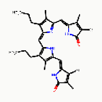 CCC1=C(C)/C(=C/C2=NC(=C\c3[nH]c(/C=C4\NC(=O)C(C)=C4CC)c(C)c3CCC(=O)O)/C(CCC(=O)O)=C2C)NC1=O